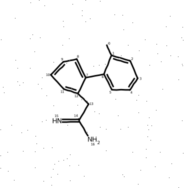 Cc1ccccc1-c1ccccc1CC(=N)N